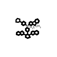 CC1(C)c2ccccc2-c2ccc(N(c3ccc(-c4c(-c5ccc6ccccc6c5)cccc4-c4ccc5ccccc5c4)cc3)c3ccc(C4CCCCC4)cc3)cc21